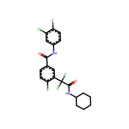 O=C(Nc1ccc(F)c(F)c1)c1ccc(F)c(C(F)(F)C(=O)NC2CCCCC2)c1